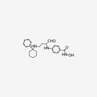 O=CC(CCNC1(c2ccccc2)CCCCC1)Nc1ccc(C(=O)NO)cc1